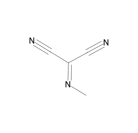 CN=C(C#N)C#N